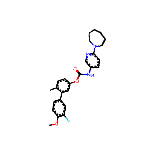 COc1ccc(-c2cc(OC(=O)Nc3ccc(N4CCCCCC4)nc3)ccc2C)cc1F